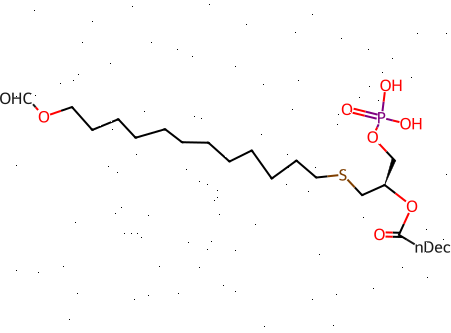 CCCCCCCCCCC(=O)O[C@H](COP(=O)(O)O)CSCCCCCCCCCCCCOC=O